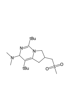 CN(C)C1N=C(C(C)(C)C)N2CC(CS(C)(=O)=O)CC2=C1C(C)(C)C